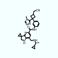 C[C@H](NCc1cc(C(=O)Nc2cccc(C3(c4nncn4C)CC(CC#N)C3)c2)nc2c1NCC21CC1)C1CC1